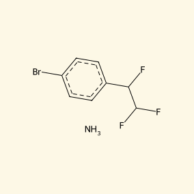 FC(F)C(F)c1ccc(Br)cc1.N